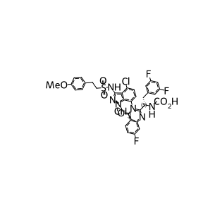 COc1ccc(CCS(=O)(=O)Nc2nn(C)c3c(-n4c([C@H](Cc5cc(F)cc(F)c5)NC(=O)O)nc5cc(F)ccc5c4=O)ccc(Cl)c23)cc1